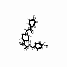 COc1ccc(CNC(=O)N(C)C2CCN(CC(=O)c3ccc(F)cc3)CC2)cc1